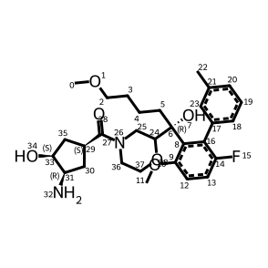 COCCCC[C@@](O)(c1c(OC)ccc(F)c1-c1cccc(C)c1)C1CN(C(=O)[C@H]2C[C@@H](N)[C@@H](O)C2)CCO1